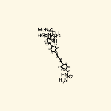 CNC(=O)NC(C)(C(F)F)[C@H](NC(=O)c1ccc(C#CC#Cc2ccc(CNC(N)=O)cc2)cc1)C(=O)NO